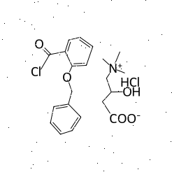 C[N+](C)(C)CC(O)CC(=O)[O-].Cl.O=C(Cl)c1ccccc1OCc1ccccc1